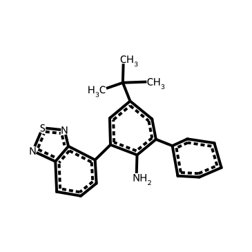 CC(C)(C)c1cc(-c2ccccc2)c(N)c(-c2cccc3nsnc23)c1